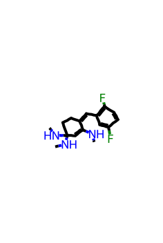 CNC1=CC(NC)(NC)CCC1=Cc1cc(F)ccc1F